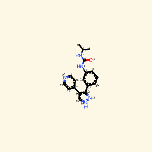 CC(C)NC(=O)Nc1cccc(-c2n[nH]cc2-c2ccncc2)c1